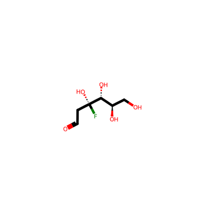 O=CC[C@](O)(F)[C@H](O)[C@H](O)CO